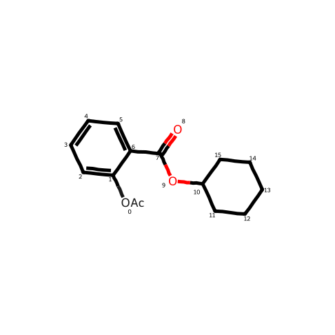 CC(=O)Oc1ccccc1C(=O)OC1CCCCC1